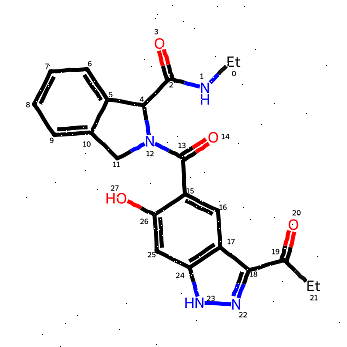 CCNC(=O)C1c2ccccc2CN1C(=O)c1cc2c(C(=O)CC)n[nH]c2cc1O